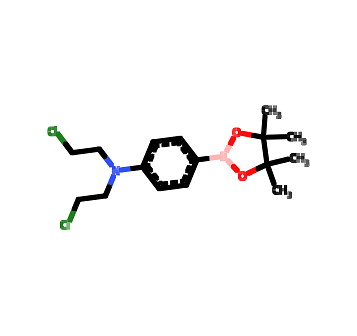 CC1(C)OB(c2ccc(N(CCCl)CCCl)cc2)OC1(C)C